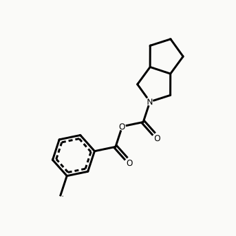 [CH2]c1cccc(C(=O)OC(=O)N2CC3CCCC3C2)c1